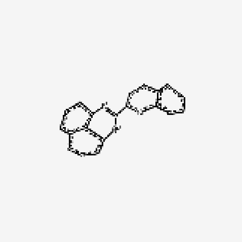 c1ccc2nc(C3=Nc4cccc5cccc(c45)N3)ccc2c1